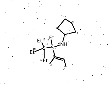 C/C=C(\C)[Si](CC)(NC1CCCC1)[Si](CC)(CC)CC